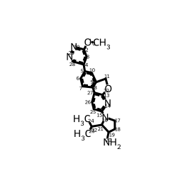 COc1cc(-c2ccc3c(c2)COc2nc(N4CCC(N)C4C(C)C)ccc2-3)cnn1